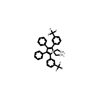 CC[Si]1(CC)C(c2cccc(C(F)(F)F)c2)=C(c2ccccc2)C(c2ccccc2)=C1c1cccc(C(F)(F)F)c1